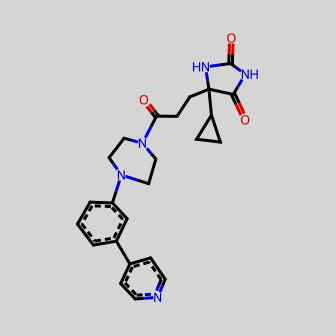 O=C1NC(=O)C(CCC(=O)N2CCN(c3cccc(-c4ccncc4)c3)CC2)(C2CC2)N1